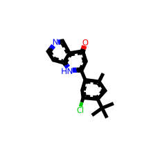 Cc1cc(C(C)(C)C)c(Cl)cc1-c1cc(=O)c2cnccc2[nH]1